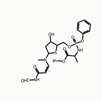 CC(C)OC(=O)C(C)NP(=O)(OCC1SC(N(C)/C=C\C(=O)NC=O)CC1O)Oc1ccccc1